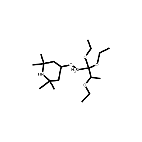 CCOC(C)C(OCC)(OCC)[SiH2]OC1CC(C)(C)NC(C)(C)C1